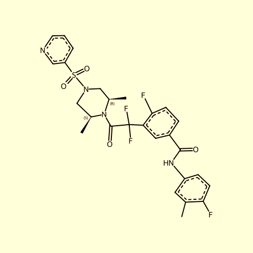 Cc1cc(NC(=O)c2ccc(F)c(C(F)(F)C(=O)N3[C@H](C)CN(S(=O)(=O)c4cccnc4)C[C@@H]3C)c2)ccc1F